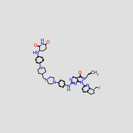 C=CCn1c(=O)c2cnc(Nc3ccc(N4CCN(CC5CCN(c6ccc(NC7CCC(=O)NC7=O)cc6)CC5)CC4)cc3)nc2n1-c1ccc2c(n1)[C@@H](CI)CC2